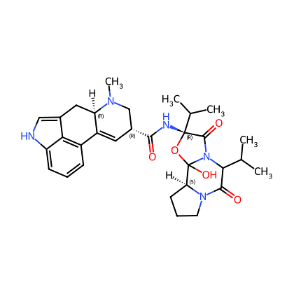 CC(C)C1C(=O)N2CCC[C@H]2C2(O)O[C@](NC(=O)[C@@H]3C=C4c5cccc6[nH]cc(c56)C[C@H]4N(C)C3)(C(C)C)C(=O)N12